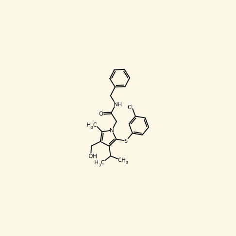 Cc1c(CO)c(C(C)C)c(Sc2cccc(Cl)c2)n1CC(=O)NCc1ccccc1